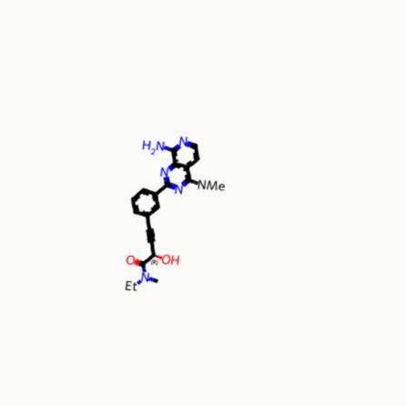 CCN(C)C(=O)[C@H](O)C#Cc1cccc(-c2nc(NC)c3ccnc(N)c3n2)c1